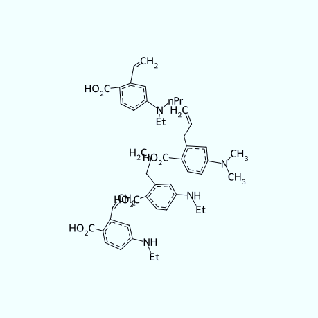 C=CCc1cc(N(C)C)ccc1C(=O)O.C=CCc1cc(NCC)ccc1C(=O)O.C=Cc1cc(N(CC)CCC)ccc1C(=O)O.C=Cc1cc(NCC)ccc1C(=O)O